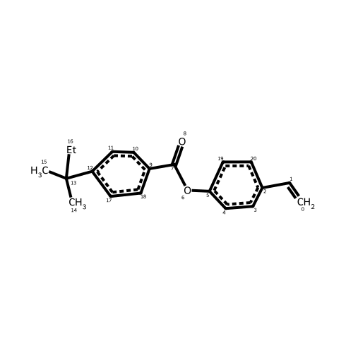 C=Cc1ccc(OC(=O)c2ccc(C(C)(C)CC)cc2)cc1